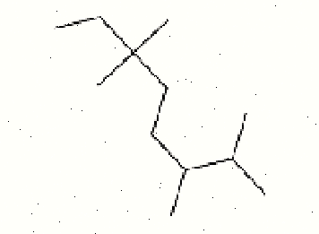 CCC(C)(C)CCC(C)C(C)C